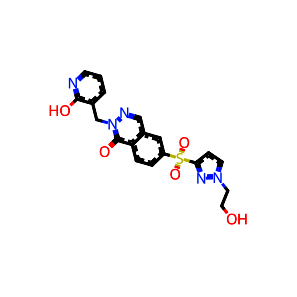 O=c1c2ccc(S(=O)(=O)c3ccn(CCO)n3)cc2cnn1Cc1cccnc1O